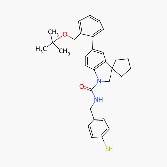 CC(C)(C)OCc1ccccc1-c1ccc2c(c1)C1(CCCC1)CN2C(=O)NCc1ccc(S)cc1